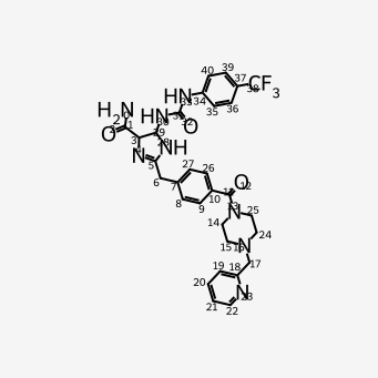 NC(=O)C1N=C(Cc2ccc(C(=O)N3CCN(Cc4ccccn4)CC3)cc2)NC1NC(=O)Nc1ccc(C(F)(F)F)cc1